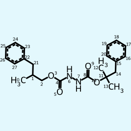 CC(COC(=O)NNC(=O)OC(C)(C)Cc1ccccc1)Cc1ccccc1